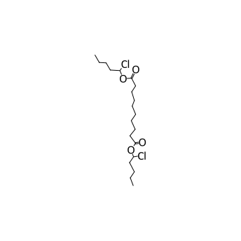 CCCCC(Cl)OC(=O)CCCCCCCCC(=O)OC(Cl)CCCC